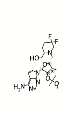 COC(C)(C)O[C@@H]1[C@H](C)[C@@H](CN2CC(F)(F)CCC2CO)O[C@H]1n1ccc2c(N)ncnc21